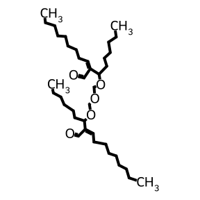 CCCCCCCCC=C(C=O)C(CCCCCC)OCOCOC(CCCCCC)C(C=O)=CCCCCCCCC